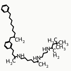 C=C(CCCCCCCc1ccccc1)Cc1cccc(CCC(=C)NCCCCCC(=C)NCCCNC(=C)CC(C)(C)C)c1